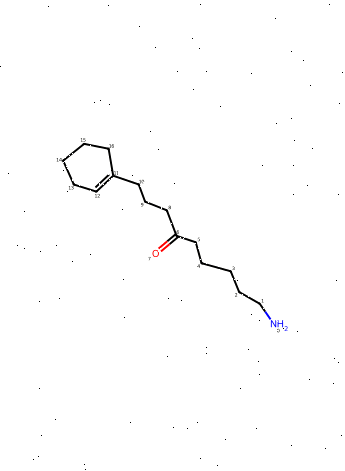 NCCCCCC(=O)CCCC1=CCCCC1